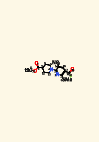 CSc1nc(N2CCC(C(=O)OC(C)(C)C)CC2)c(C#N)cc1C(=O)F